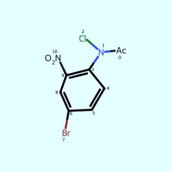 CC(=O)N(Cl)c1ccc(Br)cc1[N+](=O)[O-]